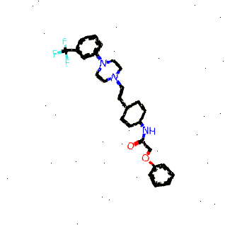 O=C(COc1ccccc1)NC1CCC(CCN2CCN(c3cccc(C(F)(F)F)c3)CC2)CC1